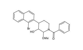 COC1C(O)C(c2ccc3ccccc3c2Br)CCN1C(=O)c1ccccc1